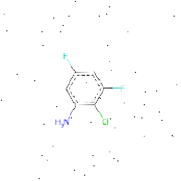 Nc1cc(F)cc(F)c1Cl